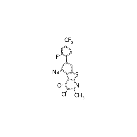 Cc1nc2sc3cc(-c4ccc(C(F)(F)F)cc4F)ccc3c2c([O-])c1Cl.[Na+]